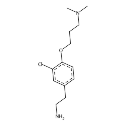 CN(C)CCCOc1ccc(CCN)cc1Cl